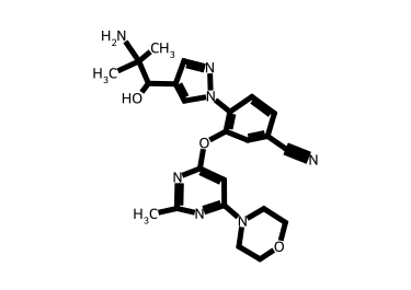 Cc1nc(Oc2cc(C#N)ccc2-n2cc(C(O)C(C)(C)N)cn2)cc(N2CCOCC2)n1